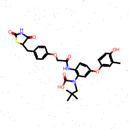 Cc1cc(Oc2ccc(NC(=O)COc3ccc(CC4SC(=O)NC4=O)cc3)c(N(CC(C)(C)C)C(=O)O)c2)ccc1O